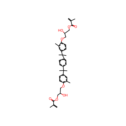 C=C(C)C(=O)OCC(O)COc1ccc(C(C)(C)c2ccc(C(C)(C)c3ccc(OCC(O)COC(=O)C(=C)C)c(C)c3)cc2)cc1C